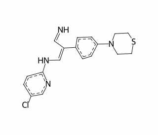 N=C/C(=C\Nc1ccc(Cl)cn1)c1ccc(N2CCSCC2)cc1